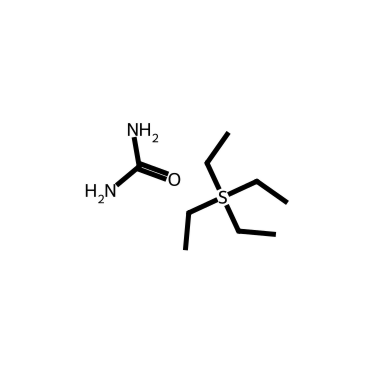 CCS(CC)(CC)CC.NC(N)=O